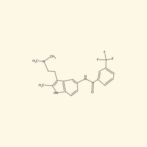 Cc1[nH]c2ccc(NC(=O)c3cccc(C(F)(F)F)c3)cc2c1CCN(C)C